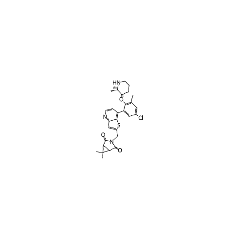 Cc1cc(Cl)cc(-c2ccnc3cc(CN4C(=O)C5C(C4=O)C5(C)C)sc23)c1O[C@H]1CCCN[C@@H]1C